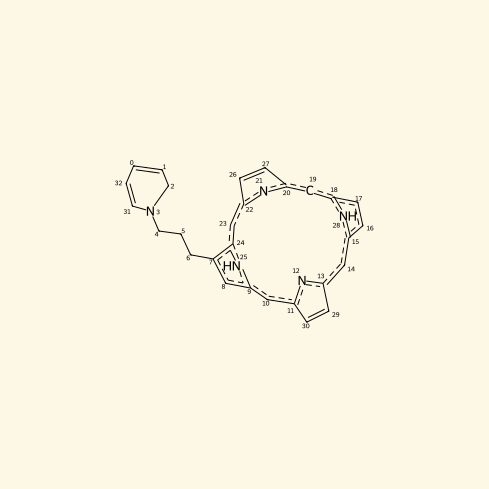 C1=CCN(CCCc2cc3cc4nc(cc5ccc(cc6nc(cc2[nH]3)C=C6)[nH]5)C=C4)C=C1